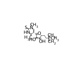 C=C1NC(=S)N(C)C=C1[C@@H]1OC(CCP(=C)(C)C)[C@@H](O)[C@H]1O